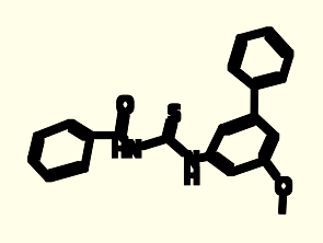 COc1cc(NC(=S)NC(=O)c2ccccc2)cc(-c2ccccc2)c1